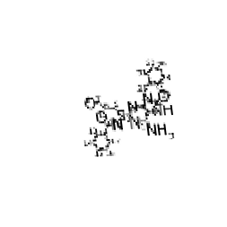 Nc1nc(S(CCC=O)=NC(=O)c2ccccc2)nc2c1[nH]c(=O)n2Cc1ccccc1